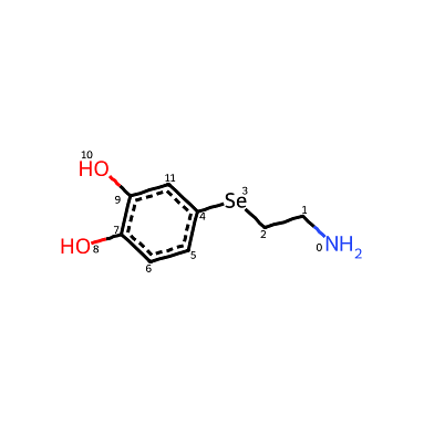 NCC[Se]c1ccc(O)c(O)c1